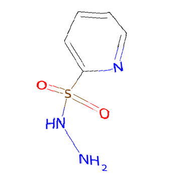 NNS(=O)(=O)c1ccccn1